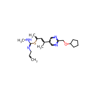 C=CC/N=C(/NC)SC(=C)/C=C(\C)c1cnc(COC2CCCC2)nc1